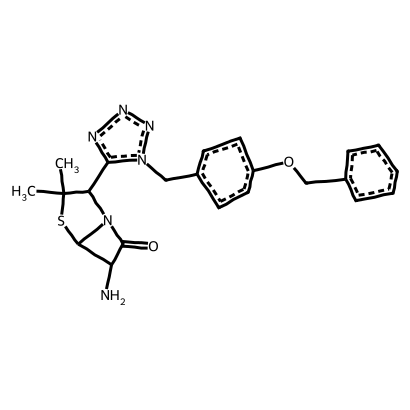 CC1(C)SC2C(N)C(=O)N2C1c1nnnn1Cc1ccc(OCc2ccccc2)cc1